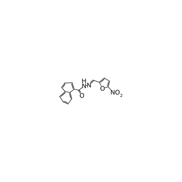 O=C(N/N=C/c1ccc([N+](=O)[O-])o1)c1cccc2ccccc12